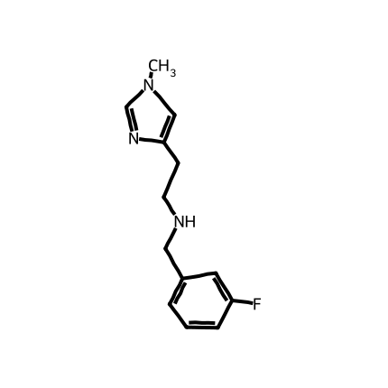 Cn1cnc(CCNCc2cccc(F)c2)c1